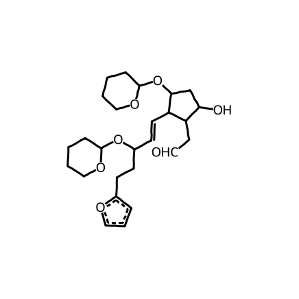 O=CCC1C(O)CC(OC2CCCCO2)C1C=CC(CCc1ccco1)OC1CCCCO1